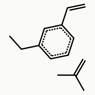 C=C(C)C.C=Cc1cccc(CC)c1